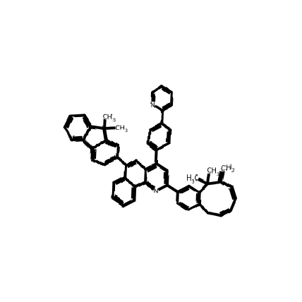 C=C1/C=C\C=C/Cc2ccc(-c3cc(-c4ccc(-c5ccccn5)cc4)c4cc(-c5ccc6c(c5)C(C)(C)c5ccccc5-6)c5ccccc5c4n3)cc2C1(C)C